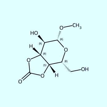 CO[C@@H]1O[C@H](CO)[C@@H]2OC(=O)O[C@@H]2[C@H]1O